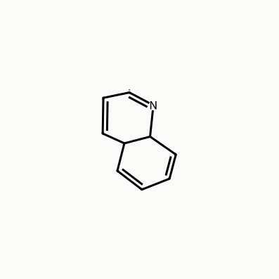 [C]1=NC2C=CC=CC2C=C1